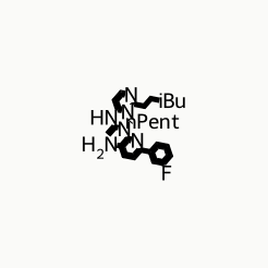 C=C(Nc1ccnc(CCC(C)CC)n1)N(CCCCC)c1nc(-c2cccc(F)c2)ccc1N